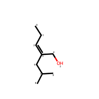 CCC=C(CO)CC(C)C